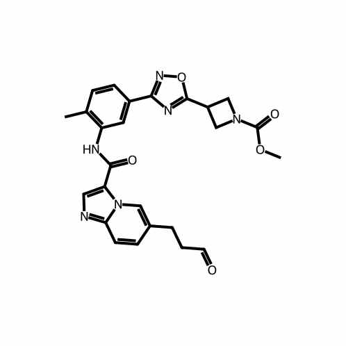 COC(=O)N1CC(c2nc(-c3ccc(C)c(NC(=O)c4cnc5ccc(CCC=O)cn45)c3)no2)C1